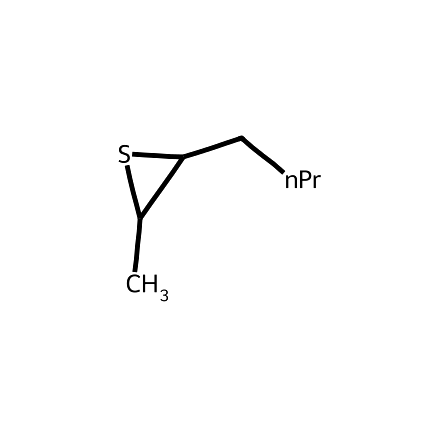 CCCCC1SC1C